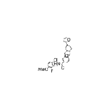 COc1ccc(Cl)c(CNC(=O)c2ccc3c(c2)C2OC3c3ccc(-c4ccco4)cc32)c1F